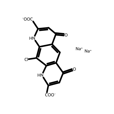 O=C([O-])c1cc(=O)c2cc3c(=O)cc(C(=O)[O-])[nH]c3c(Cl)c2[nH]1.[Na+].[Na+]